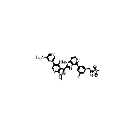 CS(=O)(=O)NCc1cc(F)cc(-c2nccc3[nH]c(-c4n[nH]c5ncc(-c6cncc(N)c6)c(F)c45)nc23)c1